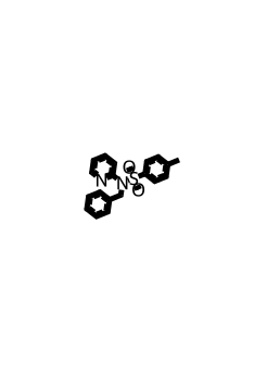 Cc1ccc(S(=O)(=O)N(Cc2ccccc2)c2ccccn2)cc1